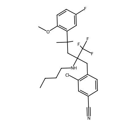 CCCCNC(Cc1ccc(C#N)cc1Cl)(CC(C)(C)c1cc(F)ccc1OC)C(F)(F)F